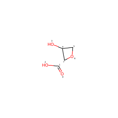 O=CO.OC1COC1